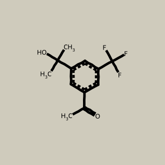 CC(=O)c1cc(C(C)(C)O)cc(C(F)(F)F)c1